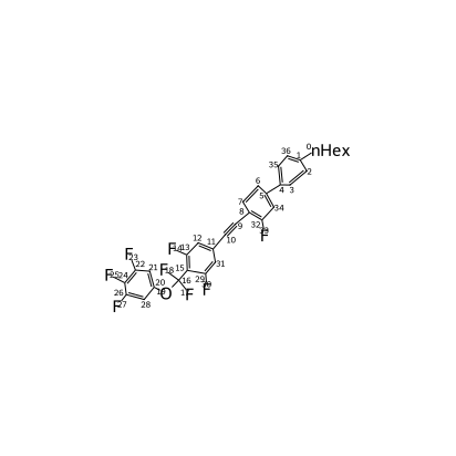 CCCCCCc1ccc(-c2ccc(C#Cc3cc(F)c(C(F)(F)Oc4cc(F)c(F)c(F)c4)c(F)c3)c(F)c2)cc1